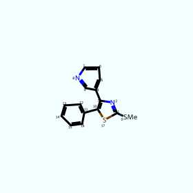 CSc1nc(-c2cccnc2)c(-c2ccccc2)s1